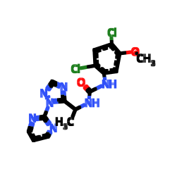 COc1cc(NC(=O)NC(C)c2ncnn2-c2ncccn2)c(Cl)cc1Cl